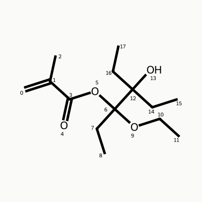 C=C(C)C(=O)OC(CC)(OCC)C(O)(CC)CC